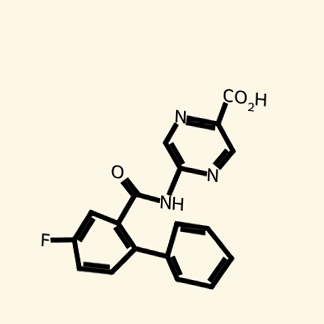 O=C(O)c1cnc(NC(=O)c2cc(F)ccc2-c2ccccc2)cn1